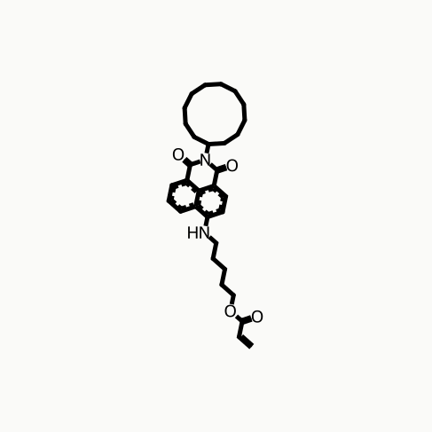 C=CC(=O)OCCCCCNc1ccc2c3c(cccc13)C(=O)N(C1CCCCCCCCCCC1)C2=O